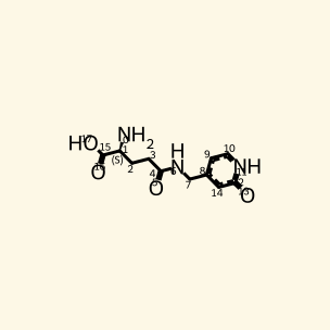 N[C@@H](CCC(=O)NCc1cc[nH]c(=O)c1)C(=O)O